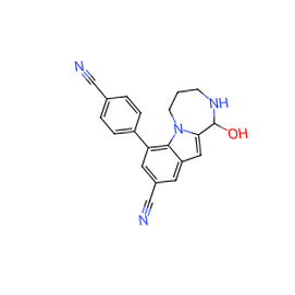 N#Cc1ccc(-c2cc(C#N)cc3cc4n(c23)CCCNC4O)cc1